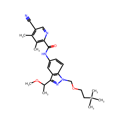 COC(C)c1nn(COCC[Si](C)(C)C)c2ccc(NC(=O)c3ncc(C#N)c(C)c3C)cc12